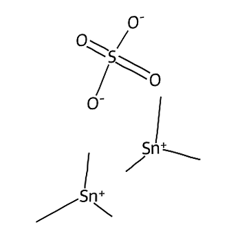 O=S(=O)([O-])[O-].[CH3][Sn+]([CH3])[CH3].[CH3][Sn+]([CH3])[CH3]